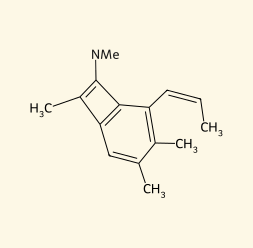 C/C=C\c1c(C)c(C)cc2c1C(NC)=C2C